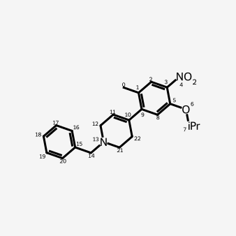 Cc1cc([N+](=O)[O-])c(OC(C)C)cc1C1=CCN(Cc2ccccc2)CC1